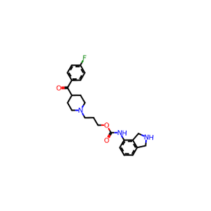 O=C(Nc1cccc2c1CNC2)OCCCN1CCC(C(=O)c2ccc(F)cc2)CC1